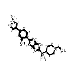 CCN1CCC(N(C)c2nc3sc(-c4ccc(-c5cnn(C)c5)cc4O)nc3s2)CC1